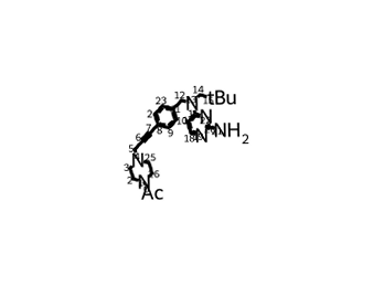 CC(=O)N1CCN(CC#Cc2ccc(CN(CC(C)(C)C)c3ccnc(N)n3)cc2)CC1